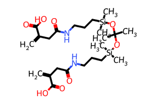 C=C(CC(=O)NCCC[Si](C)(C)OC(C)(C)O[Si](C)(C)CCCNC(=O)CC(=C)C(=O)O)C(=O)O